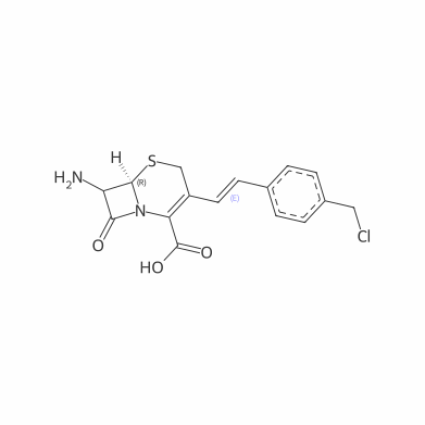 NC1C(=O)N2C(C(=O)O)=C(/C=C/c3ccc(CCl)cc3)CS[C@H]12